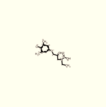 CCN(CC(O)COc1cc(C)c(Cl)c(C)c1)S(=O)O